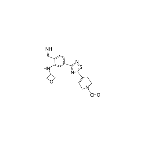 N=Cc1ccc(-c2nsc(C3=CCN(C=O)CC3)n2)cc1NC1COC1